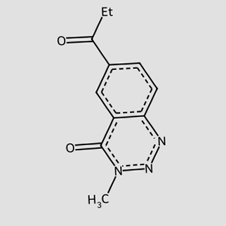 CCC(=O)c1ccc2nnn(C)c(=O)c2c1